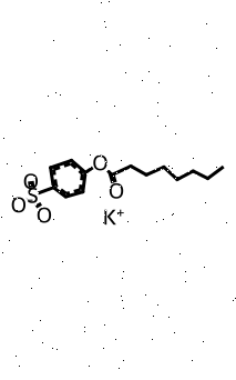 CCCCCCCC(=O)Oc1ccc(S(=O)(=O)[O-])cc1.[K+]